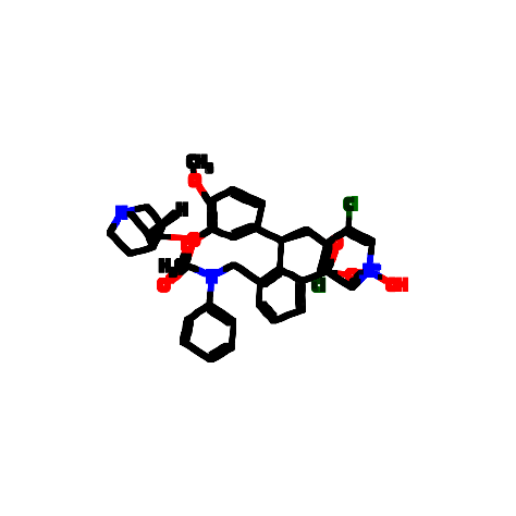 COc1ccc([C@@H](Cc2c(Cl)c[n+](O)cc2Cl)c2c(CN(C(=O)O[C@H]3CN4CCC3CC4)c3ccccc3)cccc2C(=O)[O-])cc1OC